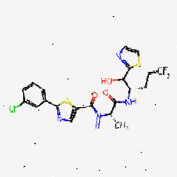 C[C@H](NC(=O)c1cnc(-c2cccc(Cl)c2)s1)C(=O)N[C@@H](CCC(F)(F)F)C(O)c1nccs1